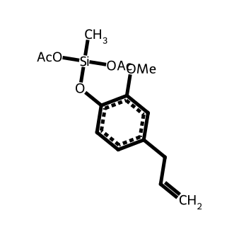 C=CCc1ccc(O[Si](C)(OC(C)=O)OC(C)=O)c(OC)c1